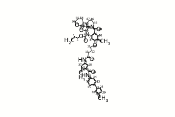 C=CCOC(=O)N1c2cc(OCCCC(=O)Nc3cc(C(=O)Nc4ccc(-c5ccn(C)c5)cc4)n(C)c3)c(C)cc2C(=O)N2CCCC[C@H]2C1OC1CCCCO1